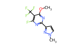 COc1nc(-c2ccn(C)n2)nc(F)c1C(F)(F)F